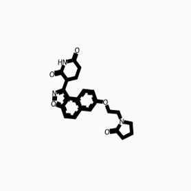 O=C1CCC(c2noc3ccc4cc(OCCN5CCCC5=O)ccc4c23)C(=O)N1